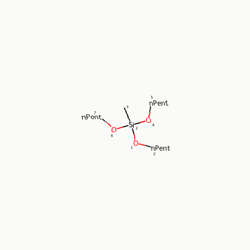 CCCCCO[Si](C)(OCCCCC)OCCCCC